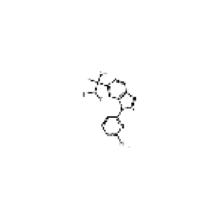 CC(O)(c1ccc2cnn(-c3ccnc(N)n3)c2c1)C(F)F